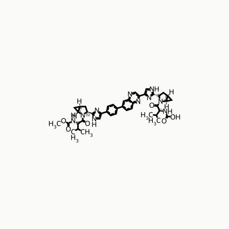 COC(=O)N[C@H](C(=O)N1[C@@H]2C[C@H]2C[C@H]1c1nc(-c2ccc(-c3ccc4nc(-c5c[nH]c([C@@H]6C[C@H]7C[C@H]7N6C(=O)[C@@H](NC(=O)O)C(C)C)n5)cnc4c3)cc2)c[nH]1)C(C)C